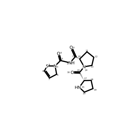 O=C(NC(=O)N1CC=CS1)[C@@H]1CCCN1C(=O)[C@@H]1CCCN1